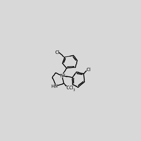 Clc1cccc([N+]2(c3cccc(Cl)c3)CCNC2C(Cl)(Cl)Cl)c1